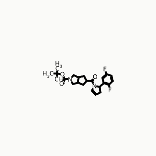 CC(C)(C)OC(=O)N1CC2CC(C(=O)N3C=CCC3c3cc(F)ccc3F)CC2C1